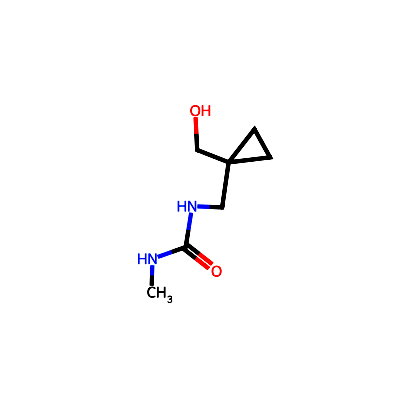 CNC(=O)NCC1(CO)CC1